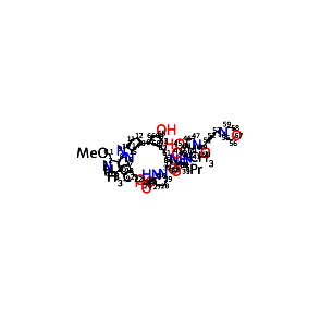 COCc1ncccc1-c1nc2ccc3cc2n1CC(C)(C)COC(=O)[C@@]1(O)CCCN(N1)C(=O)[C@@H](NC(=O)[C@H](C(C)C)N(C)C(=O)[C@@]1(O)CCN(C(=O)C#CCN2CCOCC2)C1)Cc1cc(O)cc-3c1